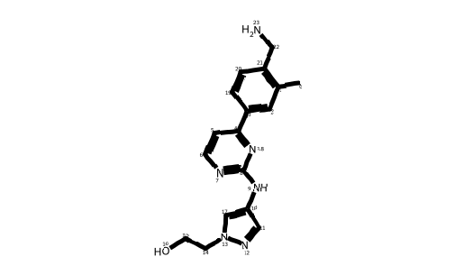 Cc1cc(-c2ccnc(Nc3cnn(CCO)c3)n2)ccc1CN